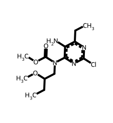 CCc1nc(Cl)nc(N(CC(CC)OC)C(=O)OC)c1N